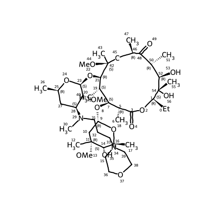 CC[C@H]1OC(=O)[C@H](C)[C@@H](O[C@H]2C[C@@](C)(OC)[C@@H](O)[C@H](C)O2)[C@H](C)[C@@H](O[C@@H]2O[C@H](C)C[C@H](N(C)CCCN3CCOCC3)[C@H]2OC)[C@@](C)(OC)C[C@@H](C)C(=O)[C@H](C)[C@@H](O)[C@]1(C)O